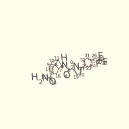 Cn1c(C(=O)NC2C3CC4CC2CC(C(N)=O)(C4)C3)ccc1-c1ccc(CC(F)(F)F)cc1